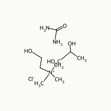 CC(O)C(=O)O.C[N+](C)(C)CCO.NC(N)=O.[Cl-]